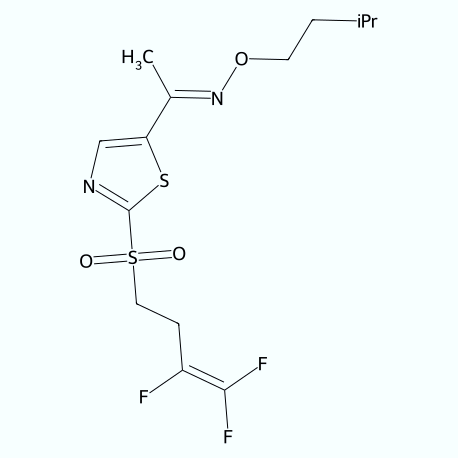 C/C(=N\OCCC(C)C)c1cnc(S(=O)(=O)CCC(F)=C(F)F)s1